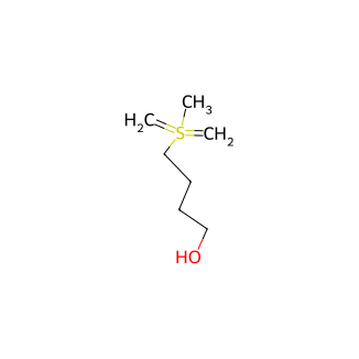 C=S(=C)(C)CCCCO